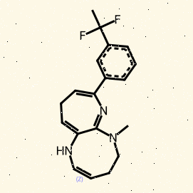 CN1CC/C=C\NC2=CCC=C(c3cccc(C(C)(F)F)c3)N=C21